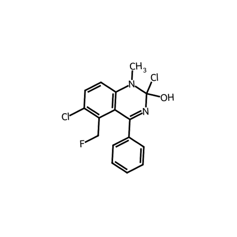 CN1c2ccc(Cl)c(CF)c2C(c2ccccc2)=NC1(O)Cl